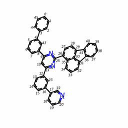 c1ccc(-c2cccc(-c3cc(-c4cccc(-c5cccnc5)c4)nc(-c4ccc5c6c(cccc46)-c4ccccc4-5)n3)c2)cc1